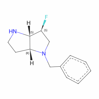 F[C@H]1CN(Cc2ccccc2)[C@@H]2CCN[C@@H]21